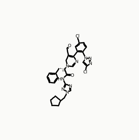 O=CC1=C(c2cc(Cl)ccc2-n2cc(Cl)nn2)N=CN([C@@H](Cc2ccccc2)C(=O)Nc2ncn(CC3CCCC3)n2)C1